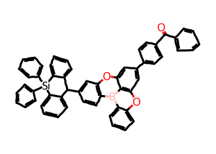 O=C(c1ccccc1)c1ccc(-c2cc3c4c(c2)Oc2cc(C5c6ccccc6[Si](c6ccccc6)(c6ccccc6)c6ccccc65)ccc2B4c2ccccc2O3)cc1